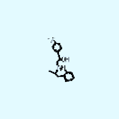 CC(Cc1ccccc1Cl)NC[C@H](O)c1ccc(C(F)(F)F)cc1